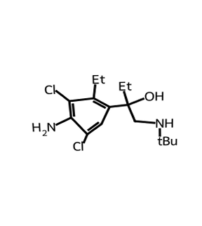 CCc1c(C(O)(CC)CNC(C)(C)C)cc(Cl)c(N)c1Cl